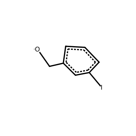 [O]Cc1cccc(I)c1